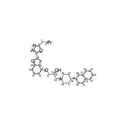 CC(C)Cc1nnc(-c2cc3c(OC[C@@H](O)CN4CCC(c5ccc6ccccc6c5)CC4)cccc3o2)o1